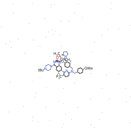 COc1ccc(CN(Cc2ccc(OC)cc2)c2ccc(C(F)(F)F)c(-c3cc4nc(OC(C)(C)[C@@H]5CCCN5C)nc(N5CCN(C(C)(C)C)CC5)c4cc3Cl)n2)cc1